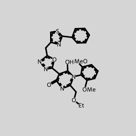 CCOCc1nc(=O)c(-c2nnc(Cc3csc(-c4ccccc4)n3)o2)c(O)n1-c1c(OC)cccc1OC